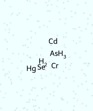 [AsH3].[Cd].[Cr].[Hg].[SeH2]